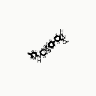 COc1n[nH]c2ccc(-c3ccc(S(=O)(=O)N4CCC(Nc5ccc(C)cn5)CC4)cc3)cc12